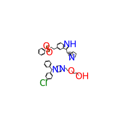 CN1CCC[C@@H]1Cc1c[nH]c2ccc(CCS(=O)(=O)c3ccccc3)cc12.OCCOCCN1CCN(C(c2ccccc2)c2ccc(Cl)cc2)CC1